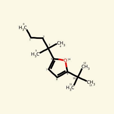 CCCC(C)(C)c1ccc(C(C)(C)C)o1